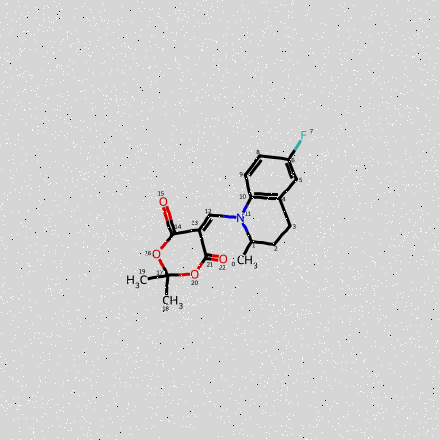 CC1CCc2cc(F)ccc2N1C=C1C(=O)OC(C)(C)OC1=O